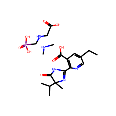 CCc1cnc(C2=NC(C)(C(C)C)C(=O)N2)c(C(=O)O)c1.CNC.O=C(O)CNCP(=O)(O)O